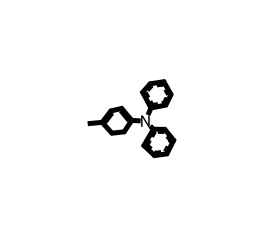 CC1=CC=C(N(c2ccccc2)c2ccccc2)CC1